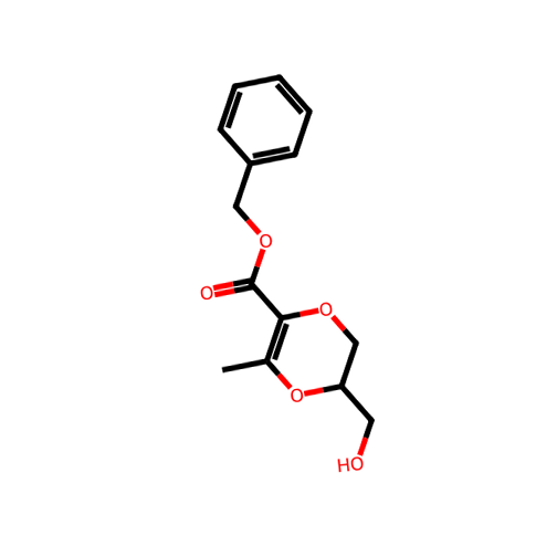 CC1=C(C(=O)OCc2ccccc2)OCC(CO)O1